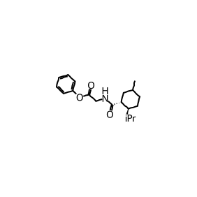 CC1CC[C@@H](C(C)C)[C@H](C(=O)NCC(=O)Oc2ccccc2)C1